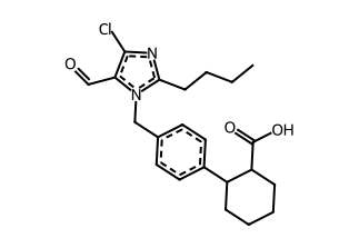 CCCCc1nc(Cl)c(C=O)n1Cc1ccc(C2CCCCC2C(=O)O)cc1